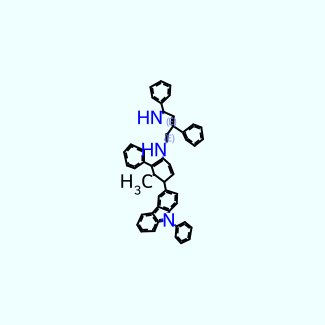 CC1C(c2ccccc2)=C(N/C=C/C(=C\C(=N)c2ccccc2)c2ccccc2)C=CC1c1ccc2c(c1)c1ccccc1n2-c1ccccc1